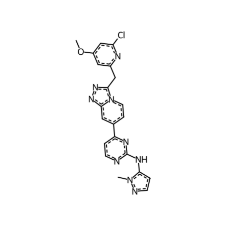 COc1cc(Cl)nc(Cc2nnc3cc(-c4ccnc(Nc5ccnn5C)n4)ccn23)c1